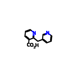 O=C(O)c1cccnc1Cc1cccnc1